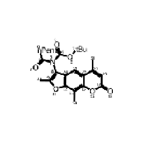 CCCCCC(=O)N(C(=O)OC(C)(C)C)c1c(C)oc2c(C)c3oc(=O)cc(C)c3cc12